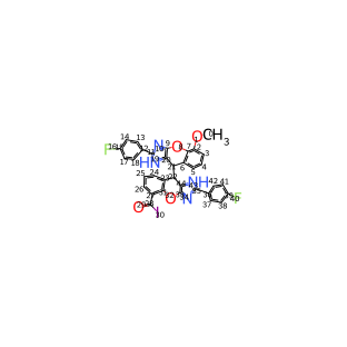 COc1cccc2c1Oc1nc(-c3ccc(F)cc3)[nH]c1C2C1c2cccc(C(=O)I)c2Oc2nc(-c3ccc(F)cc3)[nH]c21